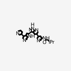 CC(C)CC(=O)Nc1cncc(-c2cnc3[nH]nc(-c4cc5c(-c6cccnc6)cncc5[nH]4)c3c2)c1